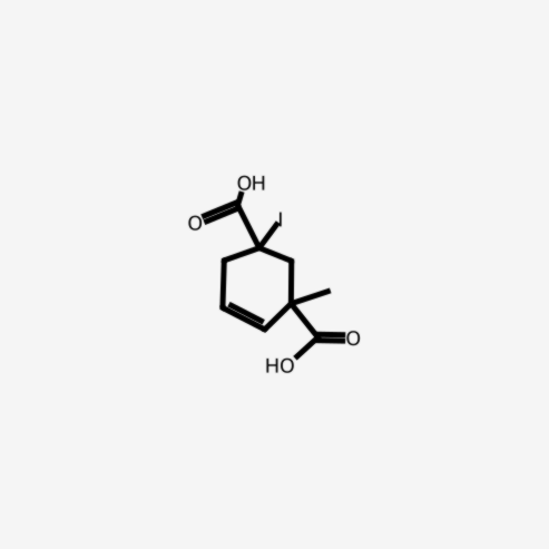 CC1(C(=O)O)C=CCC(I)(C(=O)O)C1